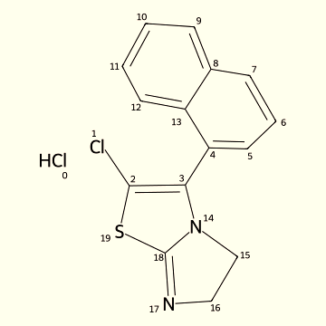 Cl.ClC1=C(c2cccc3ccccc23)N2CCN=C2S1